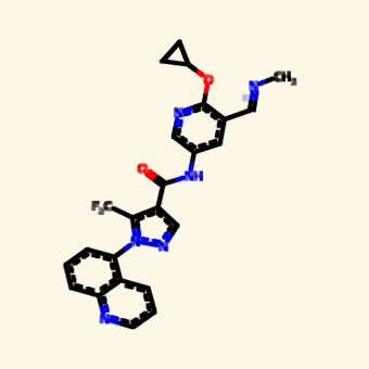 C/N=C/c1cc(NC(=O)c2cnn(-c3cccc4ncccc34)c2C(F)(F)F)cnc1OC1CC1